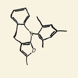 Cc1cc(C)c(N2c3ccccc3Cc3cc(C)oc32)c(C)c1